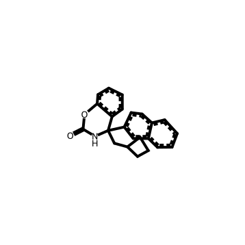 O=C1NC(CC2CCC2)(c2ccc3ccccc3c2)c2ccccc2O1